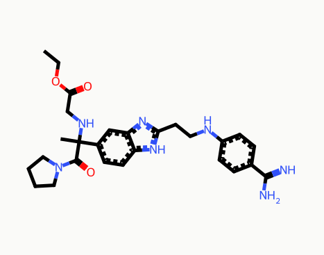 CCOC(=O)CNC(C)(C(=O)N1CCCC1)c1ccc2[nH]c(CCNc3ccc(C(=N)N)cc3)nc2c1